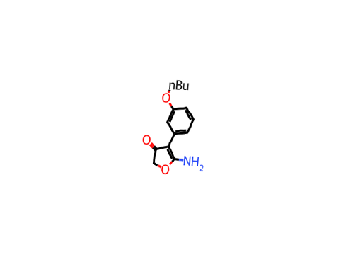 CCCCOc1cccc(C2=C(N)OCC2=O)c1